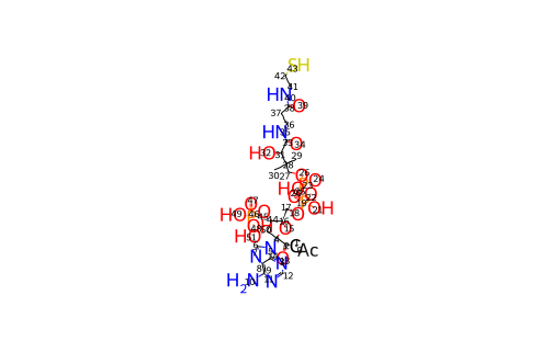 CC(=O)CC(=O)[C@@]1(n2cnc3c(N)ncnc32)O[C@H](COP(=O)(O)OP(=O)(O)OCC(C)(C)[C@@H](O)C(=O)NCCC(=O)NCCS)[C@@H](OP(=O)(O)O)[C@H]1O